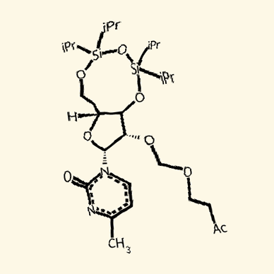 CC(=O)CCOCO[C@H]1C2O[Si](C(C)C)(C(C)C)O[Si](C(C)C)(C(C)C)OC[C@H]2O[C@H]1n1ccc(C)nc1=O